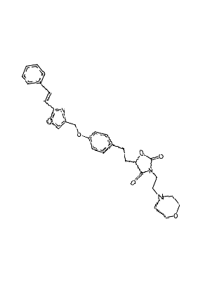 O=C1OC(CCc2ccc(OCc3coc(C=Cc4ccccc4)n3)cc2)C(=O)N1CCN1CCOCC1